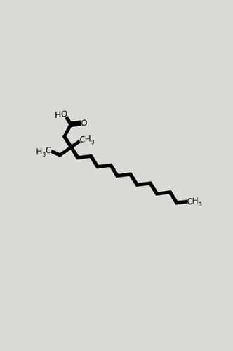 CCCCCCCCCCCCC(C)(CC)CC(=O)O